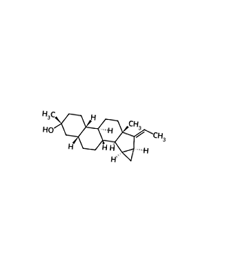 CC=C1[C@H]2C[C@H]2[C@H]2[C@@H]3CC[C@@H]4C[C@](C)(O)CC[C@@H]4[C@H]3CC[C@]12C